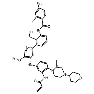 C=CC(=O)Nc1cc(Nc2nc(-c3ccnc(NC(=O)c4ccc(C(C)(C)C)cc4F)c3CO)ncc2OC(C)C)ccc1N1CCN(C2CCOCC2)C[C@@H]1C